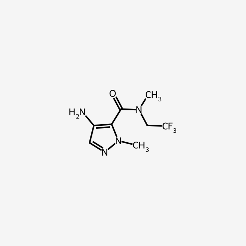 CN(CC(F)(F)F)C(=O)c1c(N)cnn1C